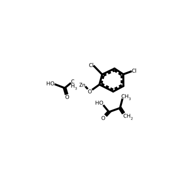 C=C(C)C(=O)O.CC(=O)O.Clc1ccc([O][Zn])c(Cl)c1